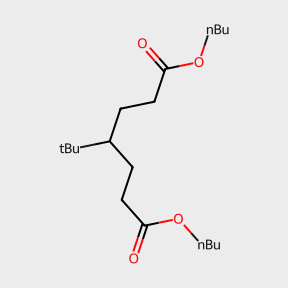 CCCCOC(=O)CCC(CCC(=O)OCCCC)C(C)(C)C